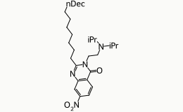 CCCCCCCCCCCCCCCCCc1nc2cc([N+](=O)[O-])ccc2c(=O)n1CCN(C(C)C)C(C)C